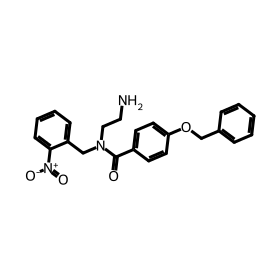 NCCN(Cc1ccccc1[N+](=O)[O-])C(=O)c1ccc(OCc2ccccc2)cc1